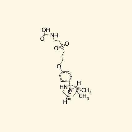 CC1(C)C[C@@H]2CNC[C@H]1N(c1ccc(OCCCS(=O)(=O)CCNC(=O)O)cc1)C2